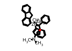 CN(C)C1=CC[C]([Zr]([CH3])([CH3])(=[C](c2ccccc2)c2ccccc2)[c]2cccc3c2Cc2ccccc2-3)=C1